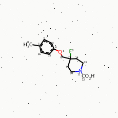 Cc1ccc(OCC2(F)CCN(C(=O)O)CC2)cc1